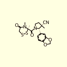 CN1C(=O)CSS[C@]1(C)C(=O)N1CC[C@](C)(C#N)[C@@H]1c1ccc2c(c1)OCO2